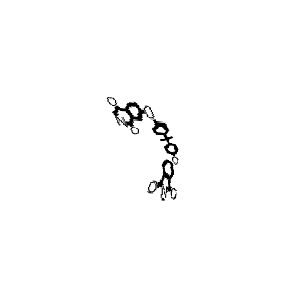 CN1C(=O)c2ccc(Oc3ccc(C(C)(C)c4ccc(Oc5ccc6c(c5)C(=O)N=CC6=O)cc4)cc3)cc2C1=O